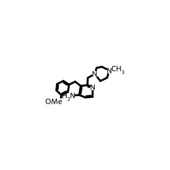 COc1cccc(Cc2c(N)ccnc2CN2CCN(C)CC2)c1